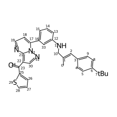 CC(=Cc1ccc(C(C)(C)C)cc1)CNc1cccc(-c2ccnc3c(C(=O)c4cccs4)cnn23)c1